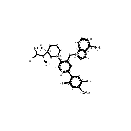 COc1cc(F)c(-c2cc(Cn3cnc4c(N)ncnc43)c(N3CCC[C@](N)([C@H](N)C(F)F)C3)cn2)cc1F